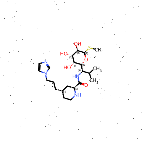 CS[C@H]1O[C@H]([C@H](NC(=O)[C@@H]2C[C@H](CCCn3ccnc3)CCN2)C(C)C)[C@H](O)[C@H](O)[C@H]1O